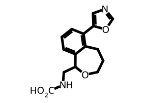 O=C(O)NCC1OCCCc2c(-c3cnco3)cccc21